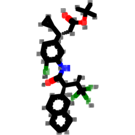 C[C@H]([C@H](C(=O)Nc1cc([C@@H](CC(=O)OC(C)(C)C)C2CC2)ccc1Cl)c1ccc2ccccc2c1)C(F)(F)F